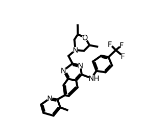 Cc1cccnc1-c1ccc2c(Nc3ccc(C(F)(F)F)cc3)nc(CN3CC(C)OC(C)C3)nc2c1